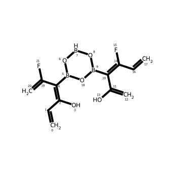 C=C/C(O)=C(/B1OBOB(/C(C(=C)O)=C(\F)C=C)O1)C(=C)F